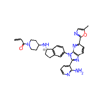 C=CC(=O)N1CCC(N[C@H]2CCc3cc(-n4c(-c5cccnc5N)nc5ccc(-c6ncc(C)o6)nc54)ccc32)CC1